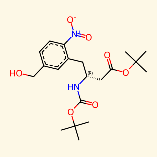 CC(C)(C)OC(=O)C[C@@H](Cc1cc(CO)ccc1[N+](=O)[O-])NC(=O)OC(C)(C)C